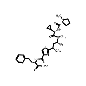 COC(=O)[C@H](CCc1ccccc1)NC(=O)c1csc([C@@H](C[C@H](C(C)C)N(C)C(=O)[C@@H](NC(=O)[C@H]2CCCN2C)C2CC2)OC(C)=O)n1